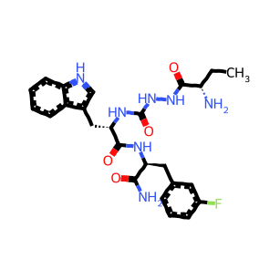 CC[C@H](N)C(=O)NNC(=O)N[C@@H](Cc1c[nH]c2ccccc12)C(=O)N[C@@H](Cc1cccc(F)c1)C(N)=O